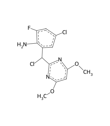 COc1cc(OC)nc(C(Cl)c2cc(Cl)cc(F)c2N)n1